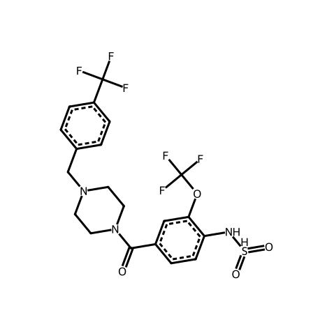 O=C(c1ccc(N[SH](=O)=O)c(OC(F)(F)F)c1)N1CCN(Cc2ccc(C(F)(F)F)cc2)CC1